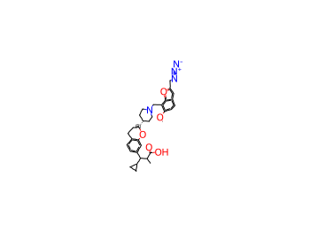 COc1ccc2cc(CN=[N+]=[N-])oc2c1CN1CCC([C@H]2CCc3ccc(C(C4CC4)C(C)C(=O)O)cc3O2)CC1